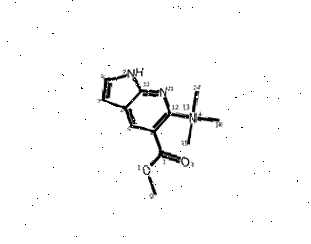 COC(=O)c1cc2cc[nH]c2nc1[N+](C)(C)C